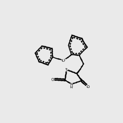 O=C1NC(=O)C(Cc2ccccc2Oc2ccccc2)S1